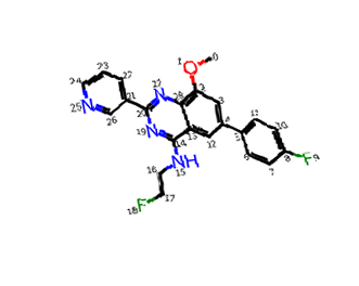 COc1cc(-c2ccc(F)cc2)cc2c(NCCF)nc(-c3cccnc3)nc12